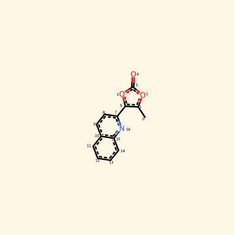 Cc1oc(=O)oc1-c1ccc2ccccc2n1